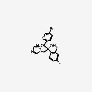 C[C@@H](c1ccc(Br)cn1)[C@](O)(Cn1cncn1)c1ccc(F)cc1F